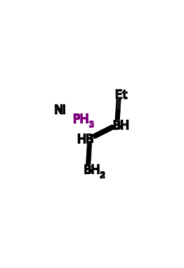 BBBCC.P.[Ni]